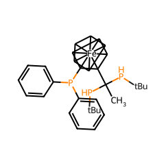 CC(C)(C)PC(C)(PC(C)(C)C)[C]12[CH]3[CH]4[CH]5[C]1(P(c1ccccc1)c1ccccc1)[Fe]45321678[CH]2[CH]1[CH]6[CH]7[CH]28